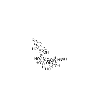 CC1C(O)C[C@](OCC2O[C@@H](OCC(=O)C3(O)C(C)CC4C5CCC6=CC(=O)C=CC6(C)C5C(O)CC43)C(O)[C@H](O)C2O)(C(=O)O)O[C@H]1C(O)C(O)CN=[N+]=N